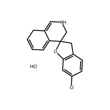 Cl.Clc1ccc2c(c1)OC1(CNC=C3CC=CC=C31)C2